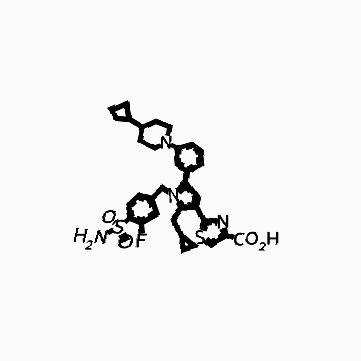 NS(=O)(=O)c1ccc(Cn2c(-c3cccc(N4CCC(C5CCC5)CC4)c3)cc(-c3nc(C(=O)O)cs3)c2CC2CC2)cc1F